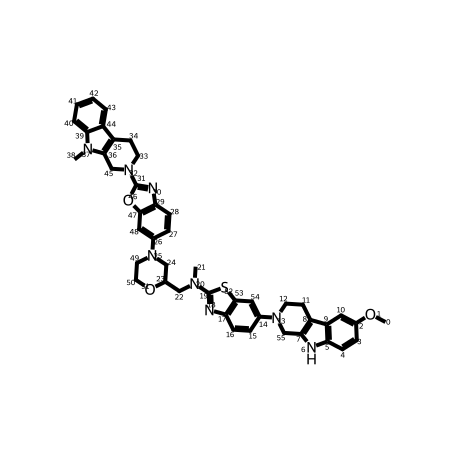 COc1ccc2[nH]c3c(c2c1)CCN(c1ccc2nc(N(C)CC4CN(c5ccc6nc(N7CCc8c(n(C)c9ccccc89)C7)oc6c5)CCO4)sc2c1)C3